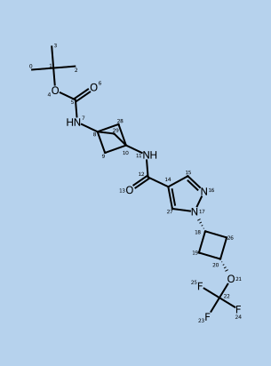 CC(C)(C)OC(=O)NC12CC(NC(=O)c3cnn([C@H]4C[C@@H](OC(F)(F)F)C4)c3)(C1)C2